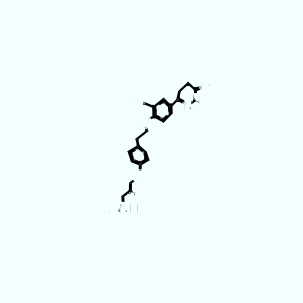 CNC[C@H](O)COc1ccc(CCOc2ccc(C3=NNC(=O)CC3)cc2Cl)cc1